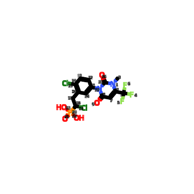 Cn1c(C(F)(F)F)cc(=O)n(-c2ccc(Cl)c(CC(Cl)P(=O)(O)O)c2)c1=O